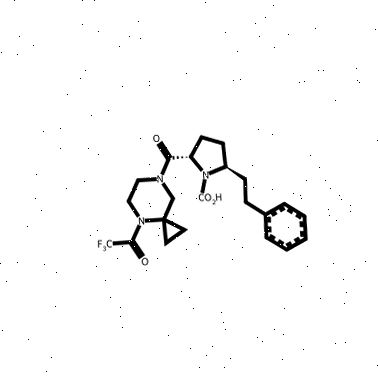 O=C([C@@H]1CC[C@@H](CCc2ccccc2)N1C(=O)O)N1CCN(C(=O)C(F)(F)F)C2(CC2)C1